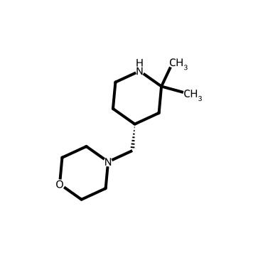 CC1(C)C[C@H](CN2CCOCC2)CCN1